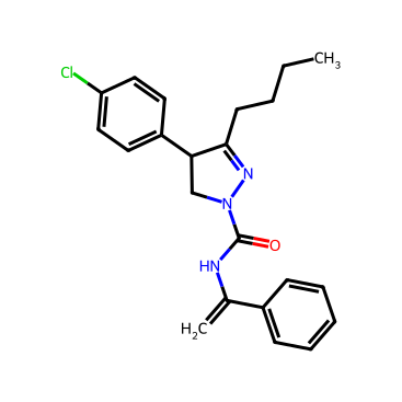 C=C(NC(=O)N1CC(c2ccc(Cl)cc2)C(CCCC)=N1)c1ccccc1